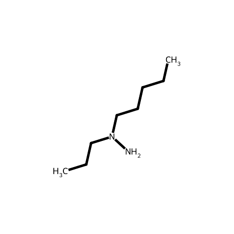 CCCCCN(N)CCC